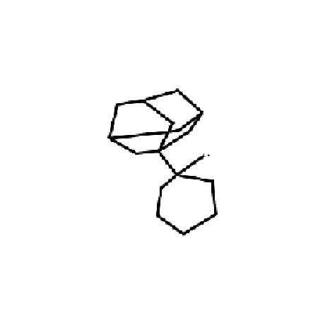 [CH2]C1(C23CC4CC(CC(C4)C2)C3)CCCCC1